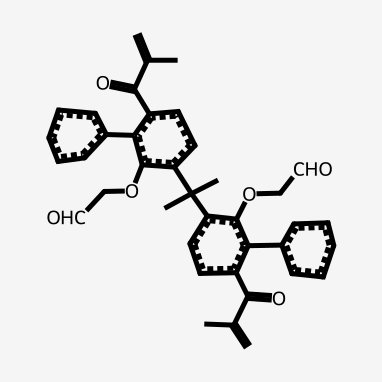 C=C(C)C(=O)c1ccc(C(C)(C)c2ccc(C(=O)C(=C)C)c(-c3ccccc3)c2OCC=O)c(OCC=O)c1-c1ccccc1